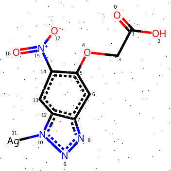 O=C(O)COc1cc2nn[n]([Ag])c2cc1[N+](=O)[O-]